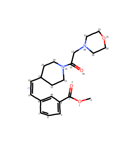 COC(=O)c1cccc(/C=C\C2CCN(C(=O)CN3CCOCC3)CC2)c1